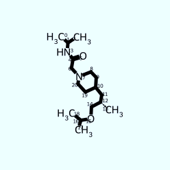 CC(C)NC(=O)CN1CCC(C[C@H](C)COC(C)C)CC1